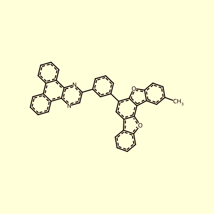 Cc1ccc2oc3c(-c4cccc(-c5cnc6c7ccccc7c7ccccc7c6n5)c4)cc4c5ccccc5oc4c3c2c1